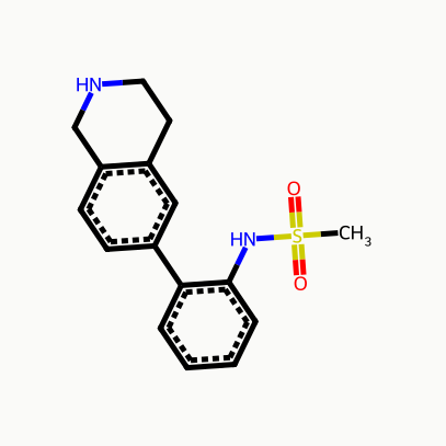 CS(=O)(=O)Nc1ccccc1-c1ccc2c(c1)CCNC2